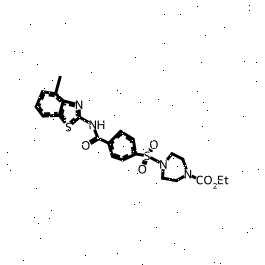 CCOC(=O)N1CCN(S(=O)(=O)c2ccc(C(=O)Nc3nc4c(C)cccc4s3)cc2)CC1